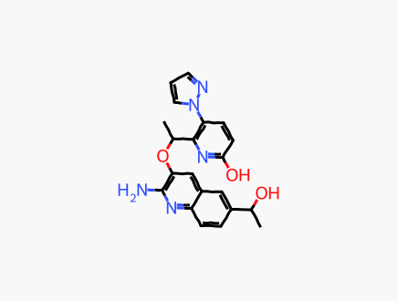 CC(O)c1ccc2nc(N)c(OC(C)c3nc(O)ccc3-n3cccn3)cc2c1